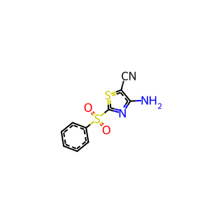 N#Cc1sc(S(=O)(=O)c2ccccc2)nc1N